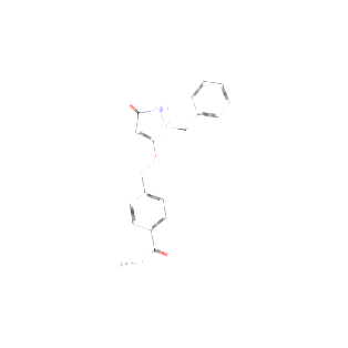 COC(=O)c1ccc(COC2=CC(=O)N[C@H]2Cc2ccccc2)cc1